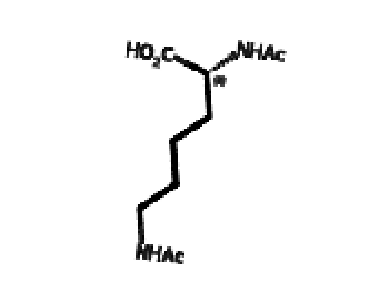 CC(=O)NCCCC[C@@H](NC(C)=O)C(=O)O